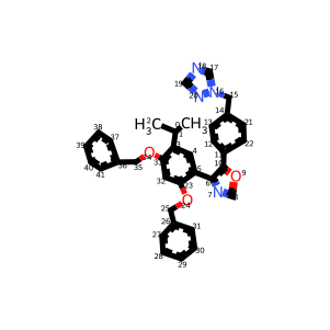 CC(C)c1cc(-c2ncoc2-c2ccc(Cn3cncn3)cc2)c(OCc2ccccc2)cc1OCc1ccccc1